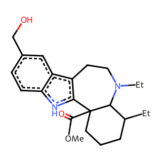 CCC1CCCC2(C(=O)OC)c3[nH]c4ccc(CO)cc4c3CCN(CC)C12